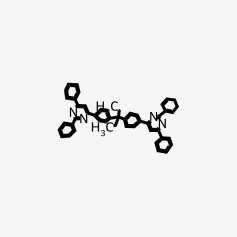 CCC(CC)(c1ccc(-c2cc(-c3ccccc3)nc(C3=CCCC=C3)n2)cc1)c1ccc(-c2cc(-c3ccccc3)nc(-c3ccccc3)n2)cc1